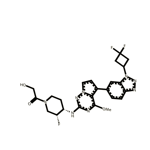 COc1nc(N[C@H]2CCN(C(=O)CO)C[C@H]2F)nn2ccc(-c3ccc4nnn(C5CC(F)(F)C5)c4c3)c12